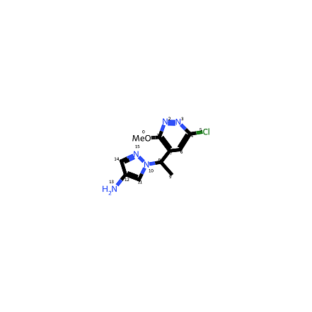 COc1nnc(Cl)cc1C(C)n1cc(N)cn1